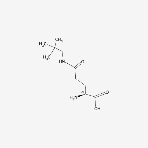 CC(C)(C)CNC(=O)CC[C@H](N)C(=O)O